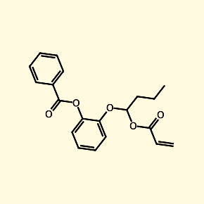 C=CC(=O)OC(CCC)Oc1ccccc1OC(=O)c1ccccc1